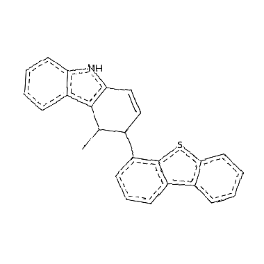 CC1c2c([nH]c3ccccc23)C=CC1c1cccc2c1sc1ccccc12